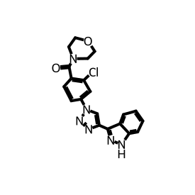 O=C(c1ccc(-n2cc(-c3n[nH]c4ccccc34)nn2)cc1Cl)N1CCOCC1